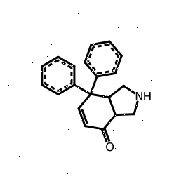 O=C1C=CC(c2ccccc2)(c2ccccc2)C2CNCC12